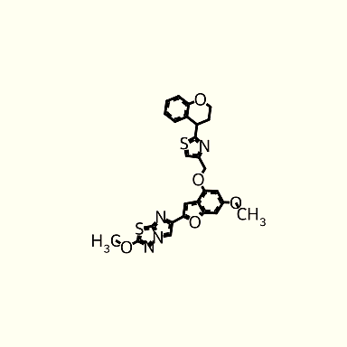 COc1cc(OCc2csc(C3CCOc4ccccc43)n2)c2cc(-c3cn4nc(OC)sc4n3)oc2c1